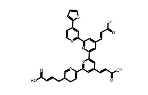 O=C(O)/C=C/CC1C=NC(c2cc(/C=C/C(=O)O)cc(-c3cc(/C=C/C(=O)O)cc(-c4cc(-c5cccs5)ccn4)n3)n2)=CC1